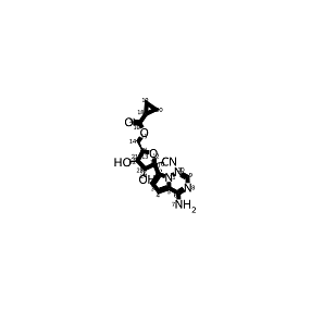 N#C[C@@]1(c2ccc3c(N)ncnn23)O[C@H](COC(=O)C2CC2)[C@@H](O)[C@H]1O